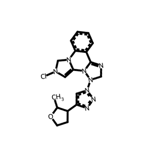 CC1OCCC1c1cn(N2CN=C3c4ccccc4N4CN(Cl)C=C4N32)nn1